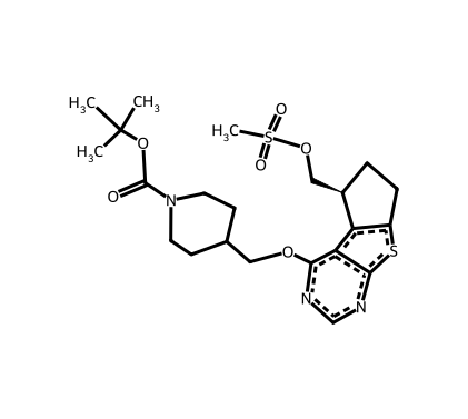 CC(C)(C)OC(=O)N1CCC(COc2ncnc3sc4c(c23)[C@@H](COS(C)(=O)=O)CC4)CC1